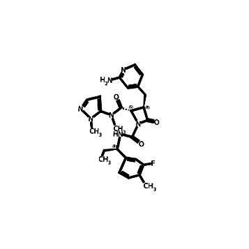 CC[C@@H](NC(=O)N1C(=O)[C@H](Cc2ccnc(N)c2)[C@H]1C(=O)N(C)c1ccnn1C)c1ccc(C)c(F)c1